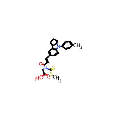 CSC(=S)N(CC(=O)O)C(=O)/C=C/c1ccc2c(c1)C1CCCC1N2c1ccc(C)cc1